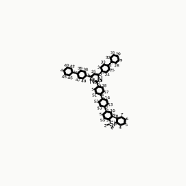 C[Si]1(C)c2ccccc2-c2cc(-c3ccc(-c4ccc(-c5nc(-c6ccc(-c7ccccc7)cc6)cc(-c6ccc(-c7ccccc7)cc6)n5)cc4)cc3)ccc21